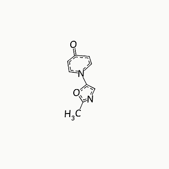 Cc1ncc(-n2ccc(=O)cc2)o1